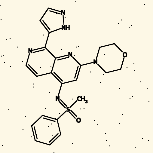 CS(=O)(=Nc1cc(N2CCOCC2)nc2c(-c3ccn[nH]3)nccc12)c1ccccc1